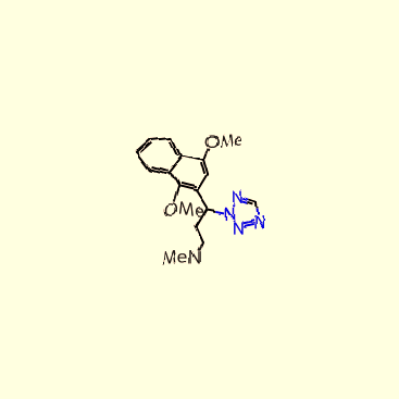 CNCCC(c1cc(OC)c2ccccc2c1OC)n1ncnn1